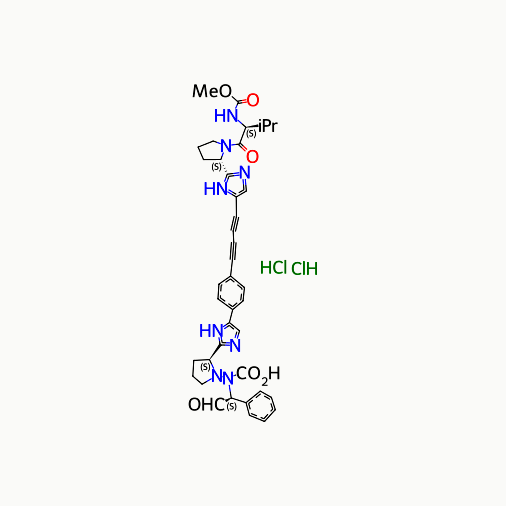 COC(=O)N[C@H](C(=O)N1CCC[C@H]1c1ncc(C#CC#Cc2ccc(-c3cnc([C@@H]4CCCN4N(C(=O)O)[C@H](C=O)c4ccccc4)[nH]3)cc2)[nH]1)C(C)C.Cl.Cl